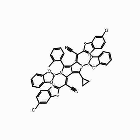 Cc1ccccc1-c1c2/c(=C(\C#N)c3nc4ccc(Cl)cc4s3)n(B3Oc4ccccc4O3)c(C3CC3)c2/c(=C(\C#N)c2nc3ccc(Cl)cc3s2)n1B1Oc2ccccc2O1